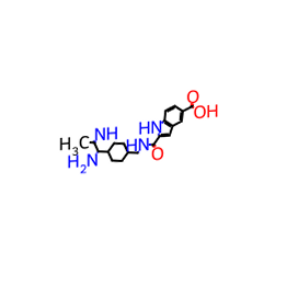 CC(=N)C(N)C1CCC(CNC(=O)c2cc3cc(C(=O)O)ccc3[nH]2)CC1